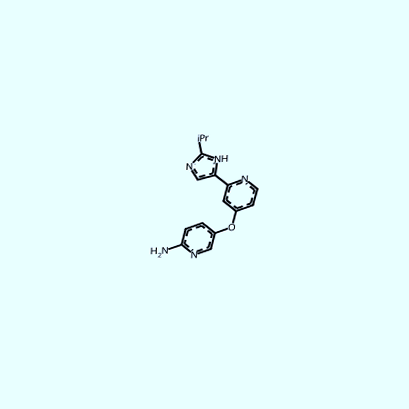 CC(C)c1ncc(-c2cc(Oc3ccc(N)nc3)ccn2)[nH]1